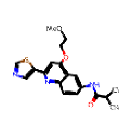 COCCOc1cc(-c2cncs2)nc2ccc(NC(=O)C(C)C#N)cc12